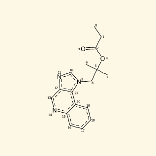 CCC(=O)OC(C)(C)Cn1cnc2cnc3ccccc3c21